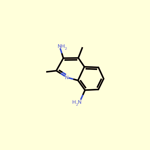 Cc1nc2c(N)cccc2c(C)c1N